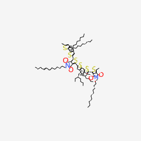 CCCCCCCCCCCCN1C(=O)c2c(C)sc(-c3cc4c(s3)-c3sc(-c5sc(-c6cc7c(s6)-c6sc(C)cc6[Si]7(CCCCCCC)CCCCCCCC)c6c5C(=O)N(CCCCCCCCCCCC)C6=O)cc3[Si]4(CC(CC)CCCC)CC(CC)CCCC)c2C1=O